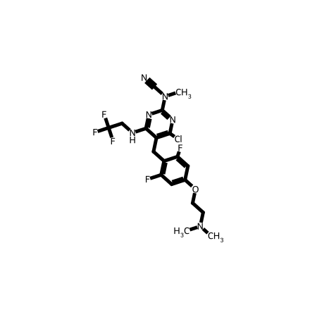 CN(C)CCOc1cc(F)c(Cc2c(Cl)nc(N(C)C#N)nc2NCC(F)(F)F)c(F)c1